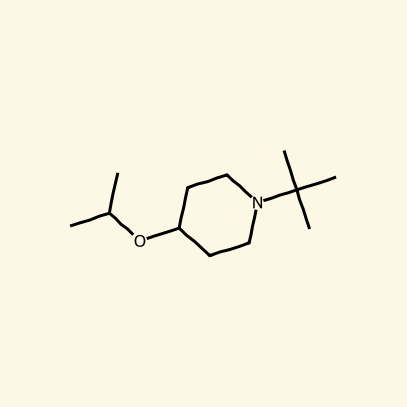 CC(C)OC1CCN(C(C)(C)C)CC1